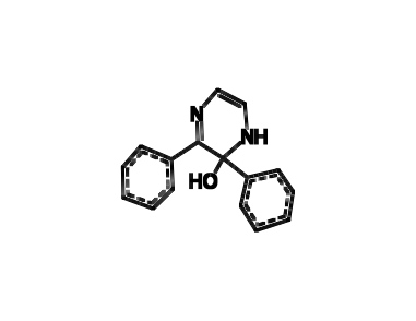 OC1(c2ccccc2)NC=CN=C1c1ccccc1